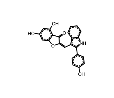 O=C1C(=Cc2c(-c3ccc(O)cc3)[nH]c3ccccc23)Oc2cc(O)cc(O)c21